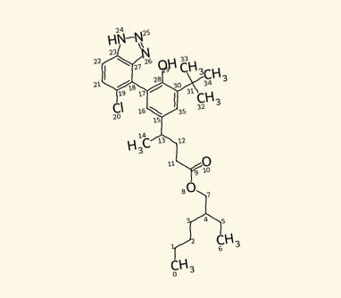 CCCCC(CC)COC(=O)CCC(C)c1cc(-c2c(Cl)ccc3[nH]nnc23)c(O)c(C(C)(C)C)c1